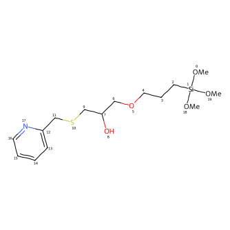 CO[Si](CCCOCC(O)CSCc1ccccn1)(OC)OC